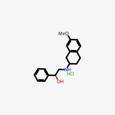 COc1ccc2c(c1)CC(NC[C@@H](O)c1ccccc1)CC2.Cl